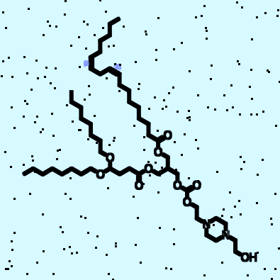 CCCCC/C=C\C/C=C\CCCCCCCC(=O)OCC(COC(=O)CCC(OCCCCCCCC)OCCCCCCCC)COC(=O)OCCN1CCN(CCO)CC1